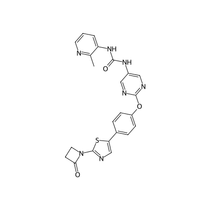 Cc1ncccc1NC(=O)Nc1cnc(Oc2ccc(-c3cnc(N4CCC4=O)s3)cc2)nc1